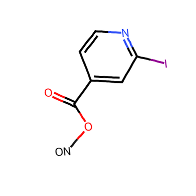 O=NOC(=O)c1ccnc(I)c1